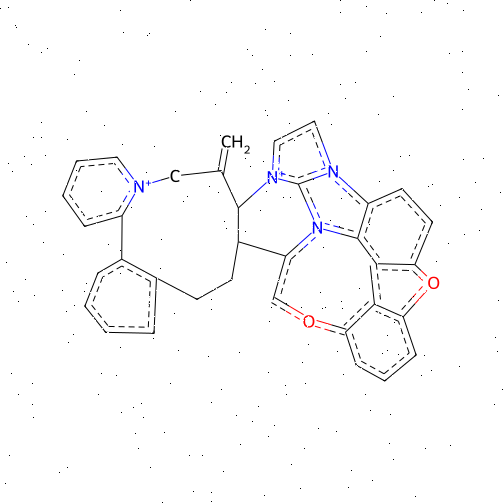 C=C1C[n+]2ccccc2-c2ccccc2CCC2c3coc4cccc5oc6ccc7c(c6c45)n3c3n7cc[n+]3C12